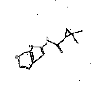 CC1(C)CC1C(=O)Nc1cc2cc[nH]c2[nH]1